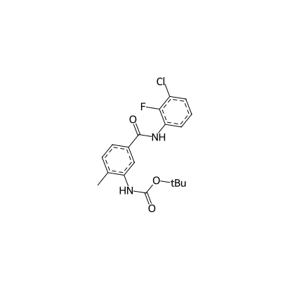 Cc1ccc(C(=O)Nc2cccc(Cl)c2F)cc1NC(=O)OC(C)(C)C